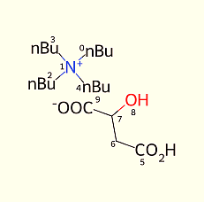 CCCC[N+](CCCC)(CCCC)CCCC.O=C(O)CC(O)C(=O)[O-]